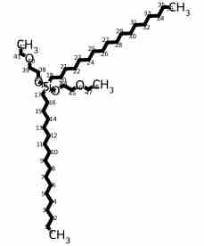 CCCCCCCCCCCCCCCCCC[Si](CCCCCCCCCCCCCCCCCC)(OCCOCC)OCCOCC